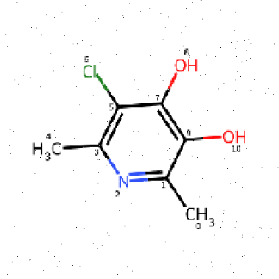 Cc1nc(C)c(Cl)c(O)c1O